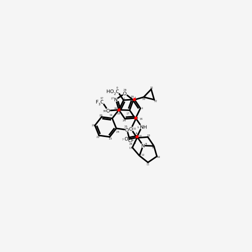 O=C(O)c1ccc(NC(=O)N2C3CCC2CC(OCc2c(-c4ccccc4OC(F)(F)F)noc2C2CC2)C3)cc1OC(F)(F)F